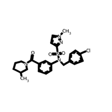 CC1CCCN(C(=O)c2cccc(N(Cc3ccc(Cl)cc3)S(=O)(=O)c3ccn(C)n3)c2)C1